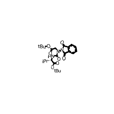 CC(C)[C@H](NC(=O)N(CC(=O)OC(C)(C)C)N1C(=O)c2ccccc2C1=O)C(=O)OC(C)(C)C